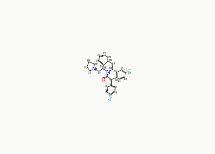 O=C(C(c1ccc(F)cc1)c1ccc(F)cc1)N1CCc2ccccc2C1CN1CCCC1